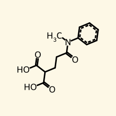 CN(C(=O)CCC(C(=O)O)C(=O)O)c1ccccc1